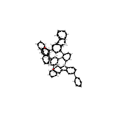 c1ccc(-c2ccc3c(c2)c2ccccc2n3-c2cccc(-c3cc(-n4c5ccccc5c5ccccc54)cc4c3oc3ccccc34)c2-c2nc(-c3ccccc3)nc(-c3ccccc3)n2)cc1